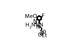 CCS(=O)(=O)CCc1nc2c3cc(F)cc(OC)c3nc(N)n2n1